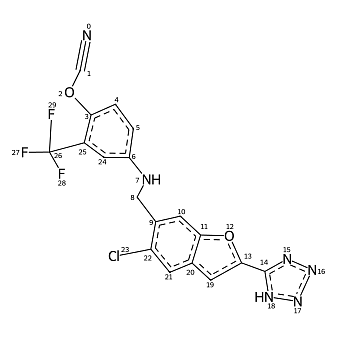 N#COc1ccc(NCc2cc3oc(-c4nnn[nH]4)cc3cc2Cl)cc1C(F)(F)F